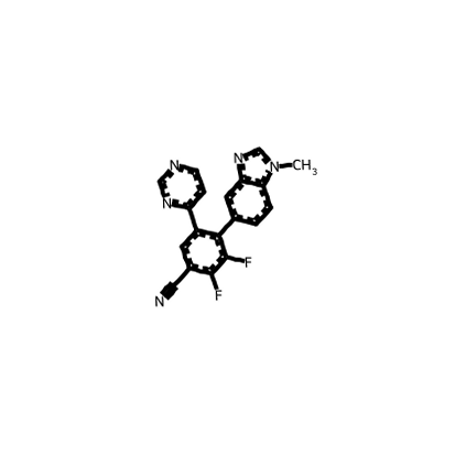 Cn1cnc2cc(-c3c(-c4ccncn4)cc(C#N)c(F)c3F)ccc21